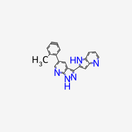 Cc1cc#ccc1-c1cnc2[nH]nc(-c3cc4ncccc4[nH]3)c2c1